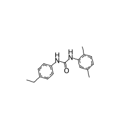 CCc1ccc(NC(=O)Nc2cc(C)ccc2C)cc1